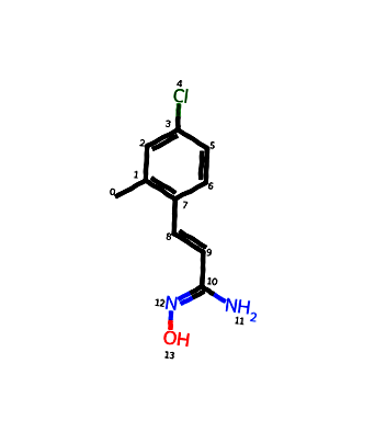 Cc1cc(Cl)ccc1C=CC(N)=NO